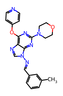 Cc1cccc(C=Nn2cnc3c(Oc4ccncc4)nc(N4CCOCC4)nc32)c1